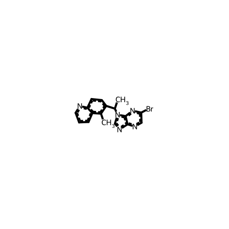 Cc1c(C(C)n2cnc3ncc(Br)nc32)ccc2ncccc12